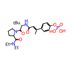 CCN(CC)C(=O)C1CCCN1C(=O)[C@@H](NC(=O)/C=C(\C)c1ccc(OP(=O)(O)O)cc1)C(C)(C)C